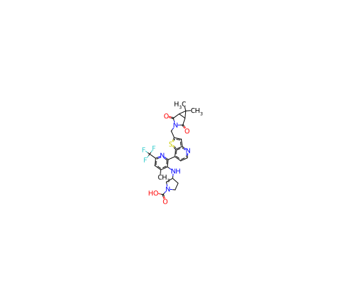 Cc1cc(C(F)(F)F)nc(-c2ccnc3cc(CN4C(=O)C5C(C4=O)C5(C)C)sc23)c1NC1CCN(C(=O)O)C1